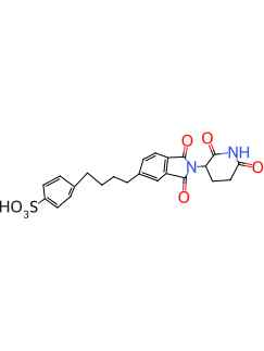 O=C1CCC(N2C(=O)c3ccc(CCCCc4ccc(S(=O)(=O)O)cc4)cc3C2=O)C(=O)N1